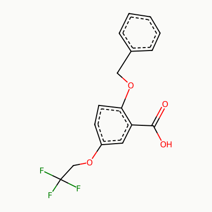 O=C(O)c1cc(OCC(F)(F)F)ccc1OCc1ccccc1